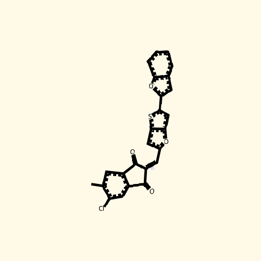 Cc1cc2c(cc1Cl)C(=O)/C(=C/c1cc3sc(-c4cc5ccccc5o4)cc3o1)C2=O